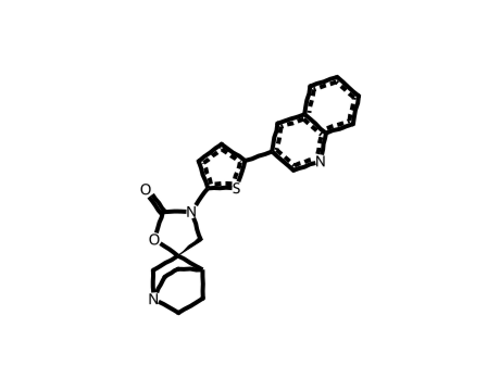 O=C1O[C@]2(CN3CCC2CC3)CN1c1ccc(-c2cnc3ccccc3c2)s1